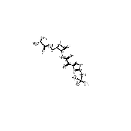 C[C@@H](N)C(=O)NC[C@H]1NC(=O)[C@H]1NC(=O)C(=N)c1csc(NC(C)(C)O)n1